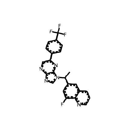 CC(c1cc(F)c2ncccc2c1)n1cnc2ncc(-c3ccc(C(F)(F)F)cc3)nc21